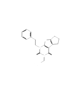 O=C(O)Cn1c(=O)c2c3c(sc2n(CCc2ccccc2)c1=O)CCC3